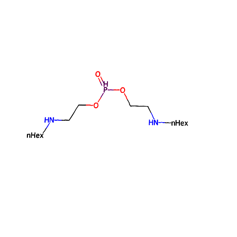 CCCCCCNCCO[PH](=O)OCCNCCCCCC